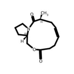 C[C@H]1CC=CCCC(=O)OC[C@@H]2CCCN2C1=O